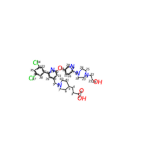 O=C(O)CCC1CCN(Cc2cc(Oc3ccc(N4CCN(CCO)CC4)nc3)nc(-c3cc(Cl)cc(Cl)c3)c2)CC1